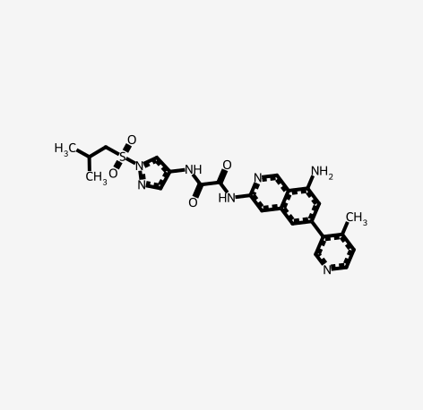 Cc1ccncc1-c1cc(N)c2cnc(NC(=O)C(=O)Nc3cnn(S(=O)(=O)CC(C)C)c3)cc2c1